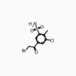 Cc1c(Cl)cc(C(=O)CBr)cc1S(N)(=O)=O